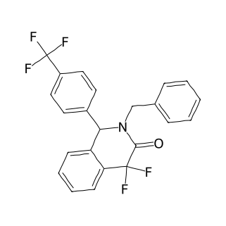 O=C1N(Cc2ccccc2)C(c2ccc(C(F)(F)F)cc2)c2ccccc2C1(F)F